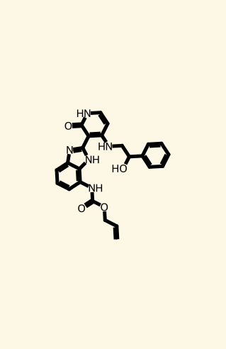 C=CCOC(=O)Nc1cccc2nc(-c3c(NCC(O)c4ccccc4)cc[nH]c3=O)[nH]c12